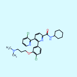 CN(C)CCCOc1cc(-c2nc(C(=O)NC3CCCCC3)ccc2-c2ncccc2Cl)ccc1Cl